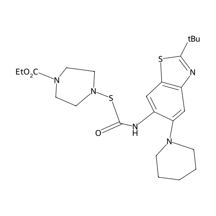 CCOC(=O)N1CCN(SC(=O)Nc2cc3sc(C(C)(C)C)nc3cc2N2CCCCC2)CC1